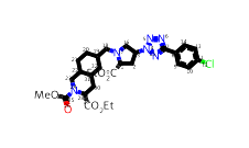 CCOC(=O)C1CC(n2nnc(-c3ccc(Cl)cc3)n2)CN1CC1CCC2CN(C(=O)OC)C(C(=O)OCC)CC2C1